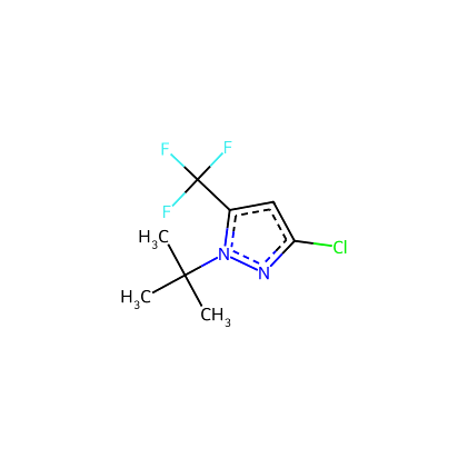 CC(C)(C)n1nc(Cl)cc1C(F)(F)F